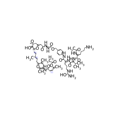 CC(=O)N[C@@H](CCCCN)C(=O)N[C@H](C(=O)N[C@@H](CCCNC(N)O)C(=O)Nc1ccc(COC(=O)NNC(=O)C[C@@H]2CC3(CO3)[C@H](O)[C@@H](/C=C/C(C)=C/C[C@@H]3O[C@H](C)[C@H](NC(=O)/C=C\[C@H](C)OC(C)=O)C[C@@H]3C)O2)cc1)C(C)C